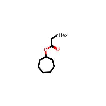 CCCCCC[CH]C(=O)OC1CCCCCC1